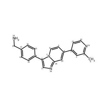 Cc1cc(-c2ccn3c(-c4ccc(CN)cc4)cnc3c2)ccn1